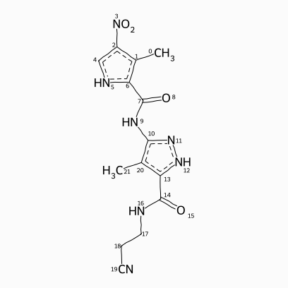 Cc1c([N+](=O)[O-])c[nH]c1C(=O)Nc1n[nH]c(C(=O)NCCC#N)c1C